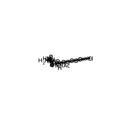 CC(=O)N[C@@H](CSc1nc2c(=O)[nH]c(N)nc2n1C1CCCC1)C(=O)NCCOCCOCCOCCOCCOCCCCCCCl